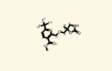 COC(=O)c1ccc(C(F)(F)F)nc1COCC1(C)CNC(=O)O1